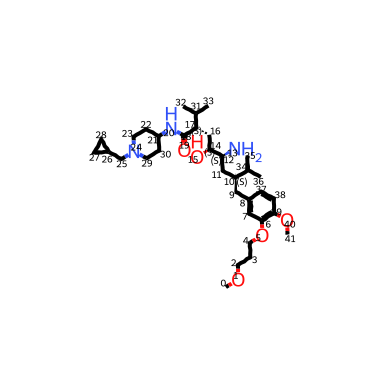 COCCCOc1cc(C[C@@H](C[C@H](N)[C@@H](O)C[C@H](C(=O)NC2CCN(CC3CC3)CC2)C(C)C)C(C)C)ccc1OC